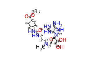 CCCCOC(=O)c1ccc(NC(=O)NCCCN(C)CC2O[C@@H](N3CNC4C(N)NCNC43)[C@H](O)[C@@H]2O)cc1